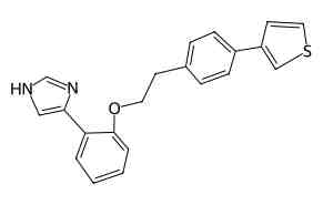 c1ccc(-c2c[nH]cn2)c(OCCc2ccc(-c3ccsc3)cc2)c1